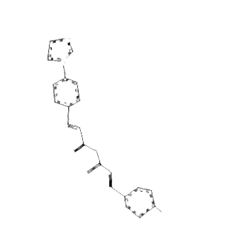 O=C(C=Cc1ccc(O)cc1)CC(=O)C=Cc1ccc(-n2ccnc2)cc1